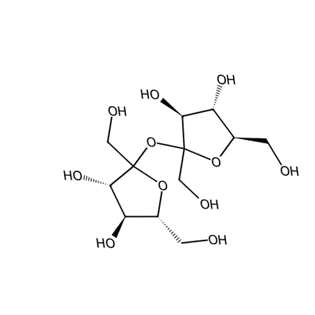 OC[C@H]1OC(CO)(OC2(CO)O[C@H](CO)[C@@H](O)[C@@H]2O)[C@@H](O)[C@@H]1O